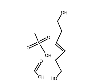 CS(=O)(=O)O.O=CO.OCCC=CCCO